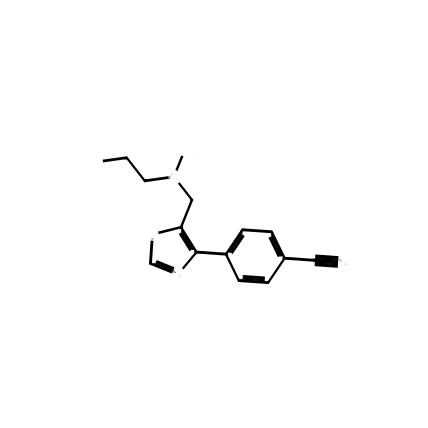 CCCN(C)Cc1ocnc1-c1ccc(C#N)cc1